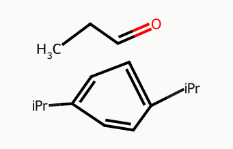 CC(C)c1ccc(C(C)C)cc1.CCC=O